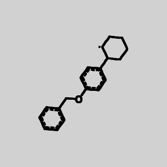 [CH]1CCCCC1c1ccc(OCc2ccccc2)cc1